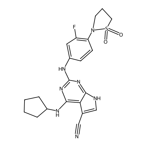 N#Cc1c[nH]c2nc(Nc3ccc(N4CCCS4(=O)=O)c(F)c3)nc(NC3CCCC3)c12